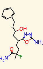 CC(F)(CCC(CC(O)[CH]Cc1ccccc1)c1nnc(N)o1)C(N)=O